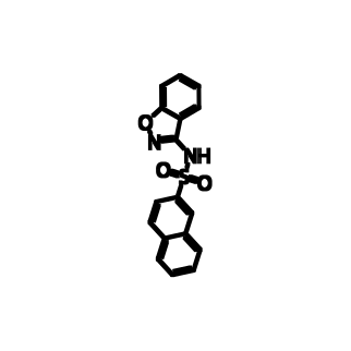 O=S(=O)(Nc1noc2ccccc12)c1ccc2ccccc2c1